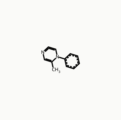 CC1=CN=C=CN1c1ccccc1